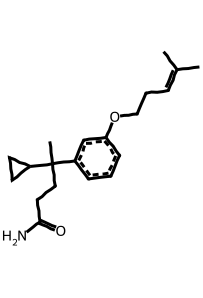 CC(C)=CCCOc1cccc(C(C)(CCC(N)=O)C2CC2)c1